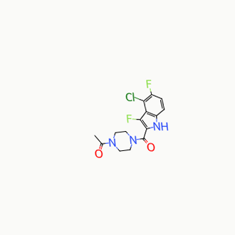 CC(=O)N1CCN(C(=O)c2[nH]c3ccc(F)c(Cl)c3c2F)CC1